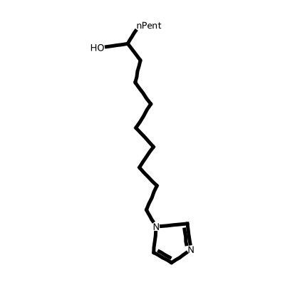 CCCCCC(O)CCCCCCCCn1ccnc1